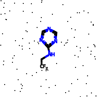 FC(F)(F)CNc1ncncn1